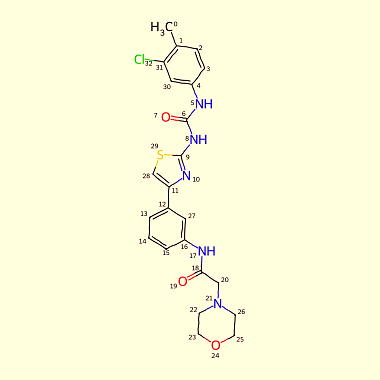 Cc1ccc(NC(=O)Nc2nc(-c3cccc(NC(=O)CN4CCOCC4)c3)cs2)cc1Cl